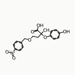 CC(CCOCc1ccc([N+](=O)[O-])cc1)(Oc1ccc(O)cc1)C(=O)O